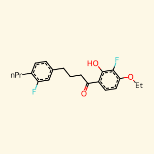 CCCc1ccc(CCCC(=O)c2ccc(OCC)c(F)c2O)cc1F